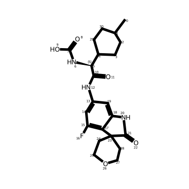 CC1CCC([C@H](NC(=O)O)C(=O)Nc2cc(F)c3c(c2)NC(=O)C32CCOCC2)CC1